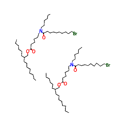 CCCCCCCCC(CCCCCC)COC(=O)CCCCCN(CCCCCC)C(=O)CCCCCCCCCBr.CCCCCCCCC(CCCCCC)COC(=O)CCCCCN(CCCCCC)C(=O)CCCCCCCCCBr